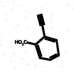 [C]#Cc1ccccc1C(=O)O